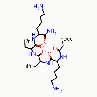 CCCCCCCCCCCC(=O)NC(CCCCN)C(=O)NC(CC(C)C)C(=O)NC(CC(C)C)C(=O)NC(CCCCN)C(N)=O